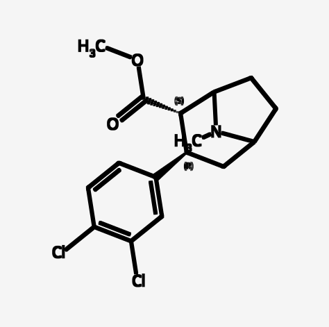 COC(=O)[C@@H]1C2CCC(C[C@H]1c1ccc(Cl)c(Cl)c1)N2C